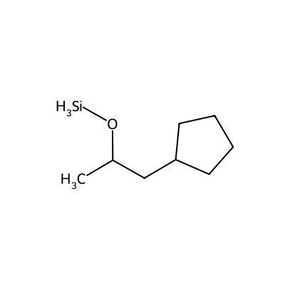 CC(CC1CCCC1)O[SiH3]